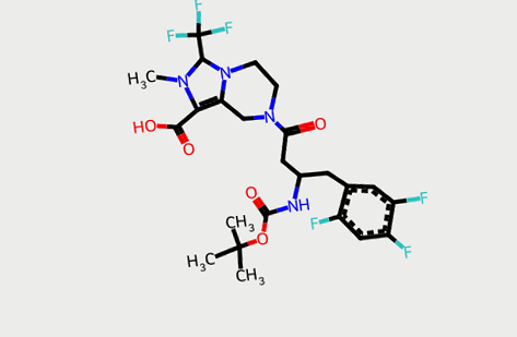 CN1C(C(=O)O)=C2CN(C(=O)CC(Cc3cc(F)c(F)cc3F)NC(=O)OC(C)(C)C)CCN2C1C(F)(F)F